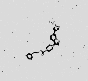 Cn1cc(-c2ccc3c(N4CCN(C(=O)OCCc5ccccc5)CC4)cnn3c2)cn1